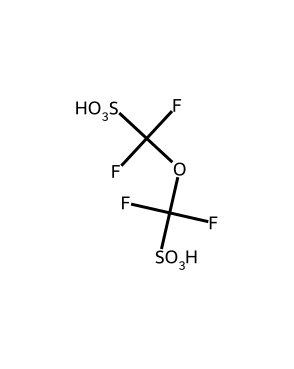 O=S(=O)(O)C(F)(F)OC(F)(F)S(=O)(=O)O